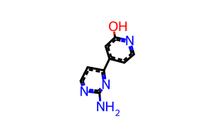 Nc1nccc(-c2ccnc(O)c2)n1